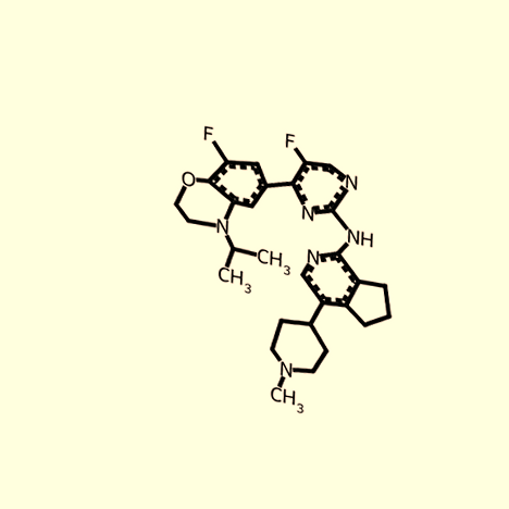 CC(C)N1CCOc2c(F)cc(-c3nc(Nc4ncc(C5CCN(C)CC5)c5c4CCC5)ncc3F)cc21